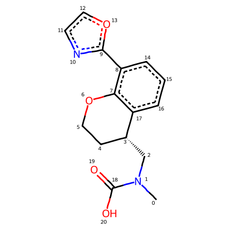 CN(C[C@@H]1CCOc2c(-c3ncco3)cccc21)C(=O)O